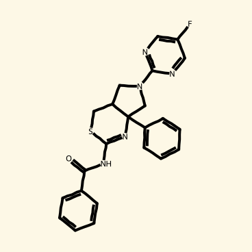 O=C(NC1=NC2(c3ccccc3)CN(c3ncc(F)cn3)CC2CS1)c1ccccc1